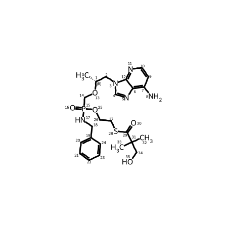 C[C@H](Cn1cnc2c(N)ccnc21)OCP(=O)(NCc1ccccc1)OCCSC(=O)C(C)(C)CO